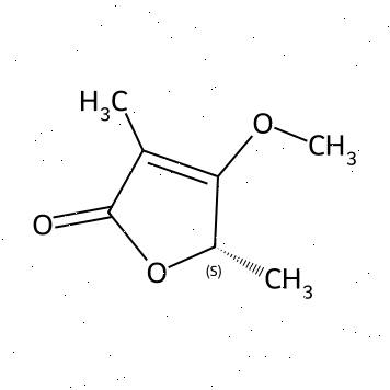 COC1=C(C)C(=O)O[C@H]1C